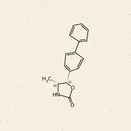 C[C@H]1NC(=O)O[C@H]1c1ccc(-c2ccccc2)cc1